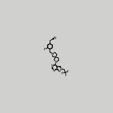 N#CCc1ccc(CN2CCC3(CCN(c4ncnc5nn(CC(F)(F)F)cc45)C3)C2)c(F)c1